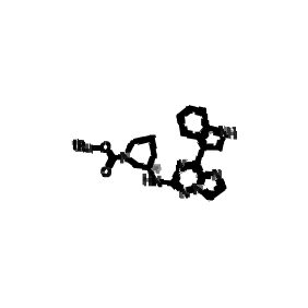 CC(C)(C)OC(=O)N1CCC[C@@H](Nc2nc(-c3c[nH]c4ccccc34)c3nccn3n2)C1